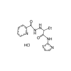 CCC(NNC(=O)c1ccccn1)C(=O)Nc1nccs1.Cl